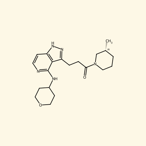 C[C@@H]1CCCN(C(=O)CCc2n[nH]c3ccnc(NC4CCOCC4)c23)C1